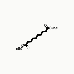 CCCCOC(=O)CCCCCCCCC(=O)OC